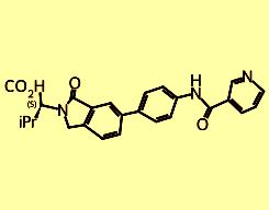 CC(C)[C@@H](C(=O)O)N1Cc2ccc(-c3ccc(NC(=O)c4cccnc4)cc3)cc2C1=O